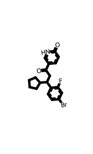 O=C(CC(c1ccc(Br)cc1F)C1CCCC1)c1ccc(=O)[nH]c1